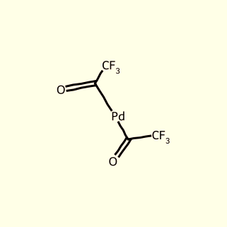 O=[C]([Pd][C](=O)C(F)(F)F)C(F)(F)F